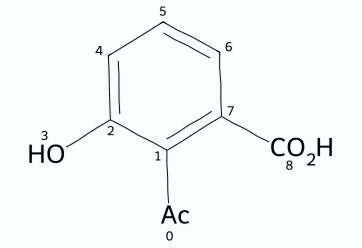 CC(=O)c1c(O)cccc1C(=O)O